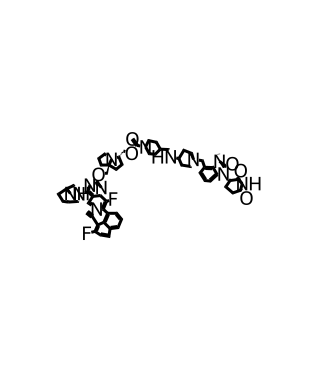 C#Cc1c(F)ccc2cccc(-c3ncc4c(N5CC6CCC(C5)N6)nc(OC[C@@]56CCCN5[C@H](COC(=O)N5CCC(CNC7CCN(Cc8cccc9c8n(C)c(=O)n9C8CCC(=O)NC8=O)CC7)CC5)CC6)nc4c3F)c12